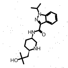 CC(C)n1nc(C(=O)N[C@@H]2CC[C@H](CC(C)(C)O)NC2)c2ccccc21